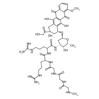 CNCC(=O)NCC(=O)NCC(=O)NC(CCCNC(=N)N)C(=O)NC(CCCNC(=N)N)C(=O)N[C@@H]1C[C@@H](O[C@H]2C[C@@](O)(C(=O)CO)Cc3c(O)c4c(c(O)c32)C(=O)c2c(OC)cccc2C4=O)O[C@H](C)[C@@H]1O